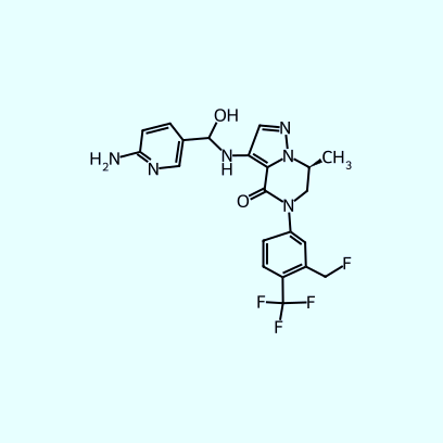 C[C@H]1CN(c2ccc(C(F)(F)F)c(CF)c2)C(=O)c2c(NC(O)c3ccc(N)nc3)cnn21